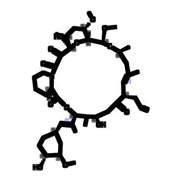 C=CC[C@@H]1/C=C(\C)C[C@H](C)C[C@H](OC)[C@H]2O[C@@](O)(C(=O)C(=O)N3CCCC[C@H]3C(=O)O[C@H](/C(C)=C/[C@@H]3CC[C@@H](O)[C@H](OC)C3)C(C)[C@@H](O)CC1=O)[C@H](C)C[C@@H]2OC